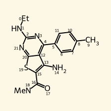 CCNc1nc(-c2ccc(C)cc2)c2c(N)c(C(=O)NC)sc2n1